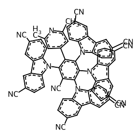 Cc1cc(-c2c(-n3c4ccc(C#N)cc4c4cc(C#N)ccc43)c(C#N)c(-n3c4ccc(C#N)cc4c4cc(C#N)ccc43)c(-n3c4ccc(C#N)cc4c4cc(C#N)ccc43)c2-n2c3ccc(C#N)cc3c3cc(C#N)ccc32)cc(C)n1